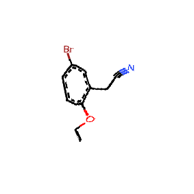 CCOc1ccc(Br)cc1CC#N